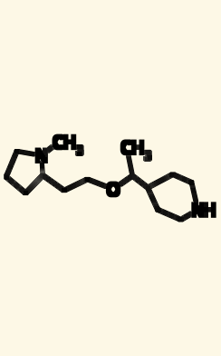 CC(OCCC1CCCN1C)C1CCNCC1